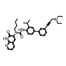 CCCCN(C(=O)Nc1ccc(-c2cccc(C#CCN(CC)CC)c2)cc1C(C)C)c1cc2cccnc2[nH]c1=O